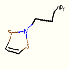 CCCCCN1SC=CS1